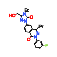 CCn1c(CO)nn(-c2ccc3c(=O)n(-c4cccc(F)c4)nc(C(C)C)c3c2)c1=O